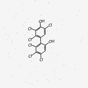 Oc1cc(Cl)c(Cl)c(Cl)c1-c1cc(Cl)c(O)c(Cl)c1Cl